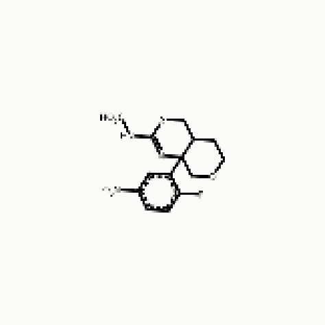 O=C(O)NC1=NC2(c3cc([N+](=O)[O-])ccc3F)COCCC2CS1